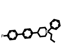 CCC[Si]1(c2ccccc2)CCC(c2ccc(-c3ccc(F)cc3)cc2)CC1